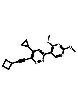 COc1ncc(-c2cc(C3CC3)c(C#CC3CCC3)nn2)c(OC)n1